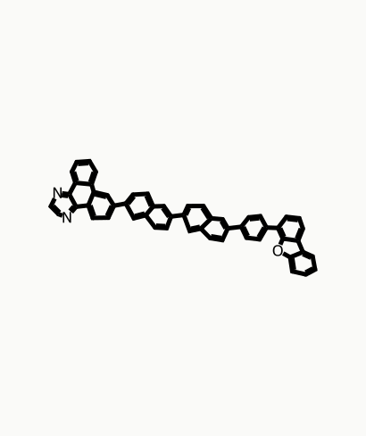 c1ccc2c(c1)oc1c(-c3ccc(-c4ccc5cc(-c6ccc7cc(-c8ccc9c(c8)c8ccccc8c8nccnc98)ccc7c6)ccc5c4)cc3)cccc12